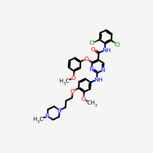 COc1cccc(Oc2nc(Nc3ccc(OCCCN4CCN(C)CC4)c(OC)c3)ncc2C(=O)Nc2c(Cl)cccc2Cl)c1